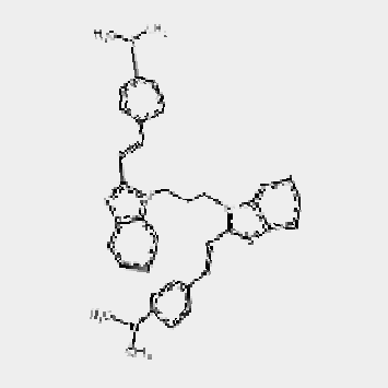 CN(C)c1ccc(/C=C/c2sc3ccccc3[n+]2CCC[n+]2c(/C=C/c3ccc(N(C)C)cc3)sc3ccccc32)cc1